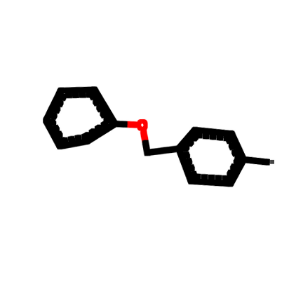 [CH2]c1ccc(COc2ccccc2)cc1